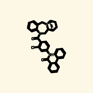 O=C(Nc1ccc(C(=O)N2CC3C4CCC(CC4)N3Cc3ccccc32)c(Cl)c1)c1ccccc1-c1ccccc1